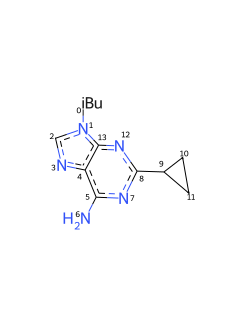 CCC(C)n1cnc2c(N)nc(C3CC3)nc21